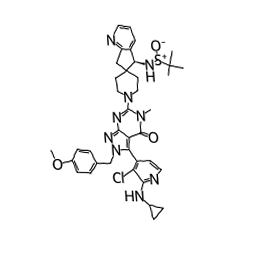 COc1ccc(Cn2nc3nc(N4CCC5(CC4)Cc4ncccc4[C@H]5N[S+]([O-])C(C)(C)C)n(C)c(=O)c3c2-c2ccnc(NC3CC3)c2Cl)cc1